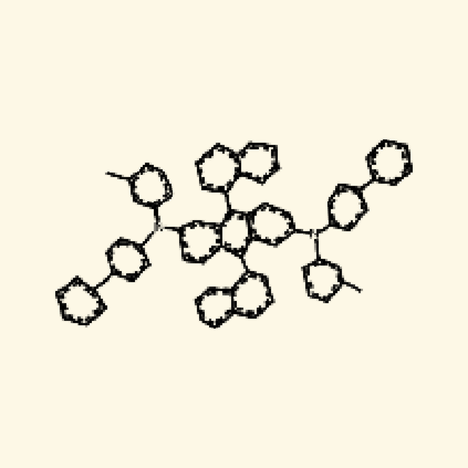 Cc1cccc(N(c2ccc(-c3ccccc3)cc2)c2ccc3c(-c4cccc5ccccc45)c4cc(N(c5ccc(-c6ccccc6)cc5)c5cccc(C)c5)ccc4c(-c4cccc5ccccc45)c3c2)c1